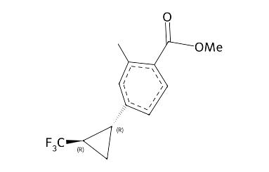 COC(=O)c1ccc([C@@H]2C[C@H]2C(F)(F)F)cc1C